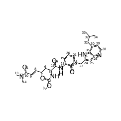 COC(=O)NC(CC/C=C/C(=O)N(C)C)C(=O)Nc1cccn(Cc2cc3nccc(CC(C)C)c3[nH]2)c1=O